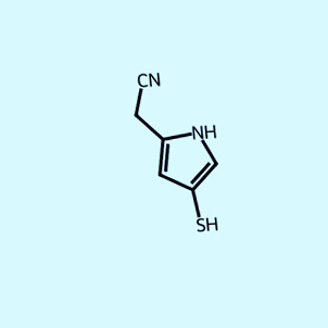 N#CCc1cc(S)c[nH]1